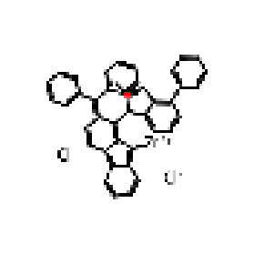 CC1=Cc2c(-c3ccccc3)cccc2C1c1c2c(ccc1=C(c1ccccc1)c1ccccc1)=c1ccccc1=[C]2[Zr+2].[Cl-].[Cl-]